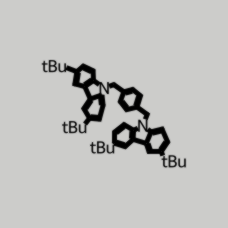 CC(C)(C)c1ccc2c(c1)c1cc(C(C)(C)C)ccc1n2Cc1ccc(Cn2c3ccc(C(C)(C)C)cc3c3cc(C(C)(C)C)ccc32)cc1